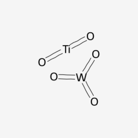 [O]=[Ti]=[O].[O]=[W](=[O])=[O]